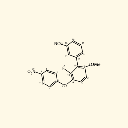 COc1ccc(Oc2ccc([N+](=O)[O-])nc2)c(F)c1-c1cccc(C#N)c1